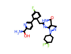 NC(O)c1ccc(-c2cc(F)ccc2Cc2nc3c(cnn3C3CCC(F)(F)CC3)c(=O)[nH]2)cn1